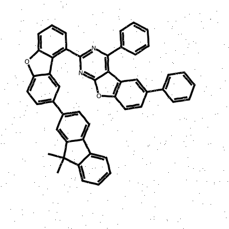 CC1(C)c2ccccc2-c2ccc(-c3ccc4oc5cccc(-c6nc(-c7ccccc7)c7c(n6)oc6ccc(-c8ccccc8)cc67)c5c4c3)cc21